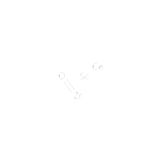 [Ce].[O]=[Zr].[Sc]